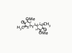 COC1=C/C(=C\C=C2\C=C(C)C(=O)C(OC)=C2)C=C(C)C1=O